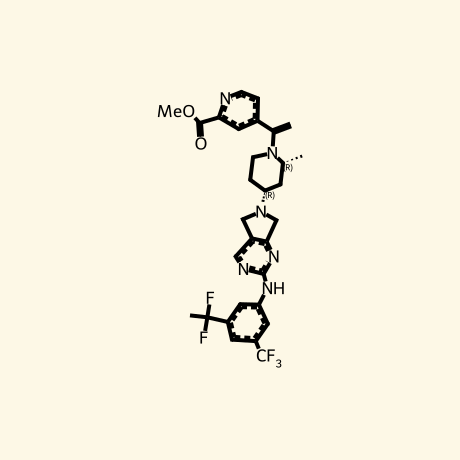 C=C(c1ccnc(C(=O)OC)c1)N1CC[C@@H](N2Cc3cnc(Nc4cc(C(C)(F)F)cc(C(F)(F)F)c4)nc3C2)C[C@H]1C